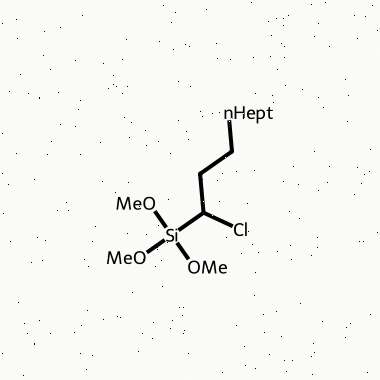 CCCCCCCCCC(Cl)[Si](OC)(OC)OC